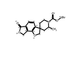 CC1CC2(CCN1C(=O)OC(C)(C)C)COc1c2ccc2c1COC2=O